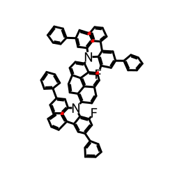 Fc1cc(-c2ccccc2)cc(-c2ccccc2)c1N(c1cccc(-c2ccccc2)c1)c1ccc2ccc3c(N(c4cccc(-c5ccccc5)c4)c4c(F)cc(-c5ccccc5)cc4-c4ccccc4)ccc4ccc1c2c43